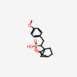 COc1ccc(CC(C23CCC(CC2=O)C3(C)C)S(=O)(=O)O)cc1